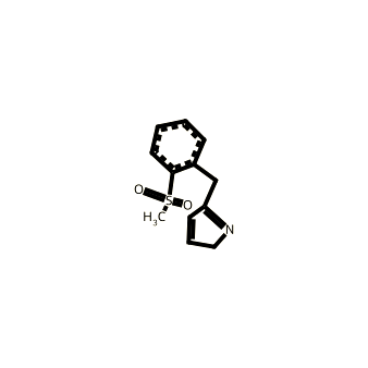 CS(=O)(=O)c1ccccc1CC1=NCC=C1